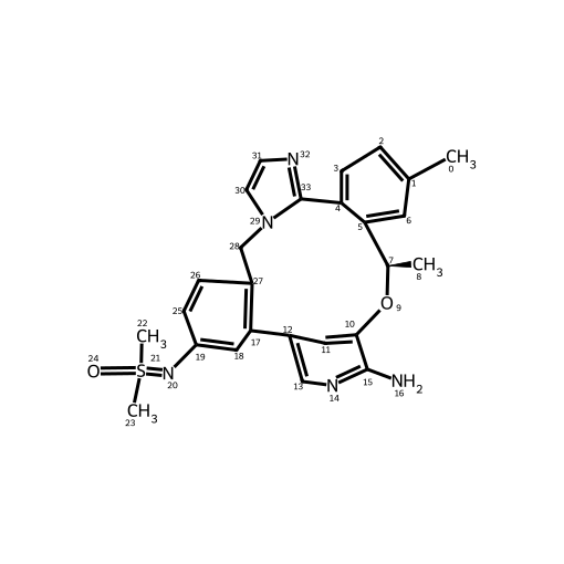 Cc1ccc2c(c1)[C@@H](C)Oc1cc(cnc1N)-c1cc(N=S(C)(C)=O)ccc1Cn1ccnc1-2